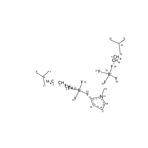 C.C.C.C.C.CC(C)C.CC(C)C.Cn1cccc1.F[B-](F)(F)F.F[B-](F)(F)F